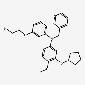 COc1ccc(N(Cc2cccnc2)c2cccc(OCCBr)c2)cc1OC1CCCC1